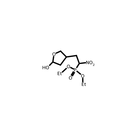 CCOP(=O)(OCC)C(CC1COC(O)C1)[N+](=O)[O-]